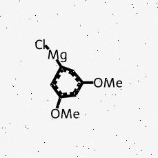 COc1cc(OC)c[c]([Mg][Cl])c1